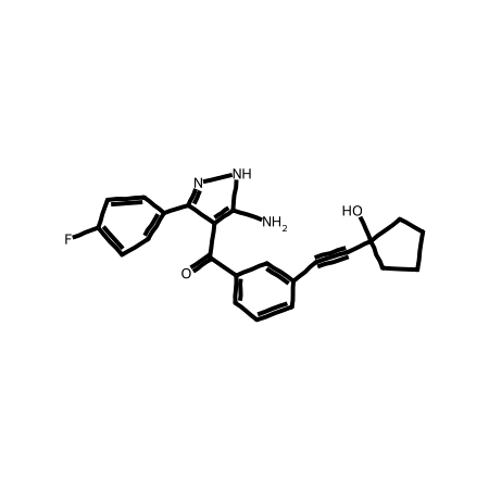 Nc1[nH]nc(-c2ccc(F)cc2)c1C(=O)c1cccc(C#CC2(O)CCCC2)c1